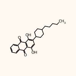 CCCCCC1CCC(c2cc(O)c3c(c2O)C(=O)c2ccccc2C3=O)CC1